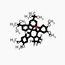 COc1cc2oc3c(c2cc1OC)C1=C(c2c(oc4cc(OC)c(OC)cc24)C3(c2ccc(C(C)(C)C)cc2)c2ccc(C(C)(C)C)cc2)C(F)(F)C(F)(F)C1(F)F